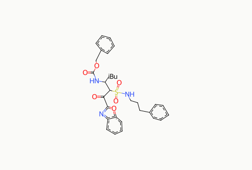 CCC(C)C(NC(=O)OCc1ccccc1)C(C(=O)c1nc2ccccc2o1)S(=O)(=O)NCCCc1ccccc1